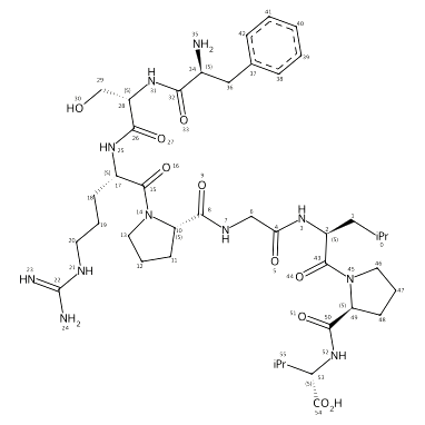 CC(C)C[C@H](NC(=O)CNC(=O)[C@@H]1CCCN1C(=O)[C@H](CCCNC(=N)N)NC(=O)[C@H](CO)NC(=O)[C@@H](N)Cc1ccccc1)C(=O)N1CCC[C@H]1C(=O)N[C@H](C(=O)O)C(C)C